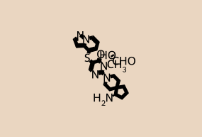 Cn1c(N2CCC3(CCC[C@H]3N)CC2)ncc(Sc2cccn3nccc23)c1=O.O=CO